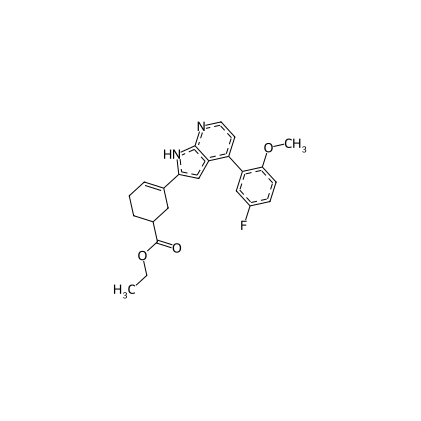 CCOC(=O)C1CCC=C(c2cc3c(-c4cc(F)ccc4OC)ccnc3[nH]2)C1